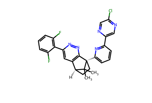 CC1(C)[C@H]2CC[C@]1(c1cccc(-c3cnc(Cl)cn3)n1)c1nnc(-c3c(F)cccc3F)cc12